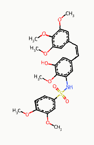 COc1ccc(S(=O)(=O)Nc2cc(/C=C\c3cc(OC)c(OC)c(OC)c3)cc(O)c2OC)cc1OC